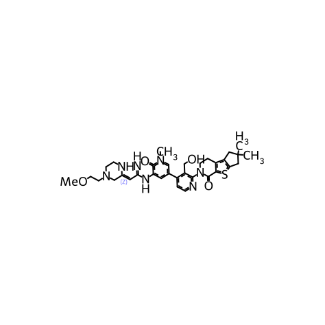 COCCN1CCN/C(=C\C(=N)Nc2cc(-c3ccnc(N4CCc5c(sc6c5CC(C)(C)C6)C4=O)c3CO)cn(C)c2=O)C1